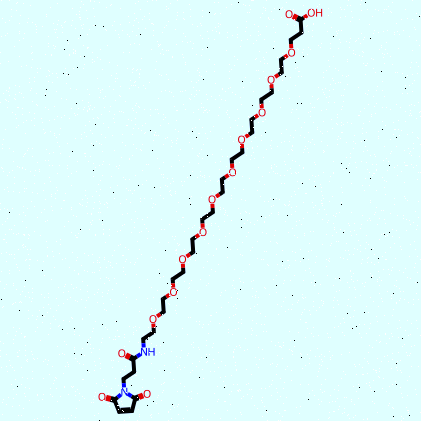 O=C(O)CCOCCOCCOCCOCCOCCOCCOCCOCCOCCOCCNC(=O)CCN1C(=O)C=CC1=O